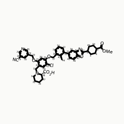 COC(=O)C1CCC(c2nc3cc(-c4cccc(COc5cc(OCc6cncc(C#N)c6)c(CN6CCCC[C@H]6C(=O)O)cc5Cl)c4C)ccc3o2)CC1